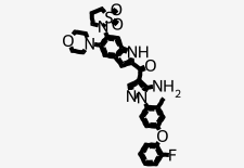 Cc1cc(Oc2ccccc2F)ccc1-n1ncc(C(=O)c2cc3cc(N4CCOCC4)c(N4CCCS4(=O)=O)cc3[nH]2)c1N